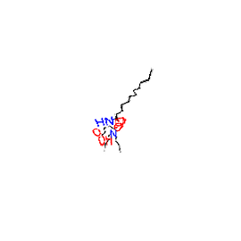 CCCCCCCCCCCC(=O)NC(CCC(=O)O)C(=O)N(CCCC)CCCC